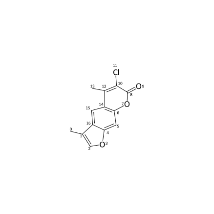 Cc1coc2cc3oc(=O)c(Cl)c(C)c3cc12